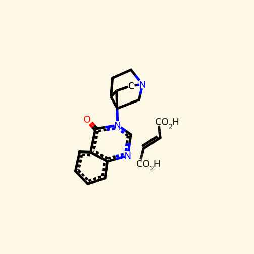 O=C(O)/C=C/C(=O)O.O=c1c2ccccc2ncn1C1CN2CCC1CC2